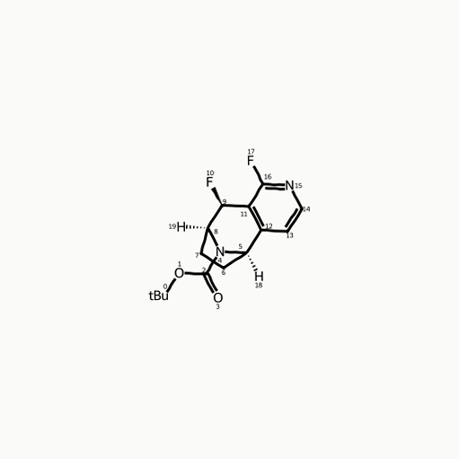 CC(C)(C)OC(=O)N1[C@@H]2CC[C@H]1[C@@H](F)c1c2ccnc1F